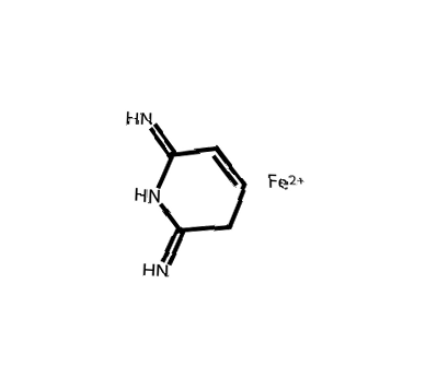 N=C1C=CCC(=N)N1.[Fe+2]